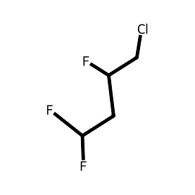 FC(F)CC(F)CCl